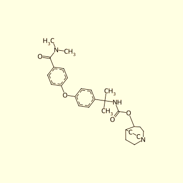 CN(C)C(=O)c1ccc(Oc2ccc(C(C)(C)NC(=O)OC3CCN4CCC3CC4)cc2)cc1